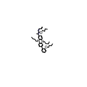 C=C/C=C\C(OCCCC)=C(/C)c1ccc2c(c1)N(CCCC)c1ccc(-c3ccccc3OCCCC)cc1N2CCCC